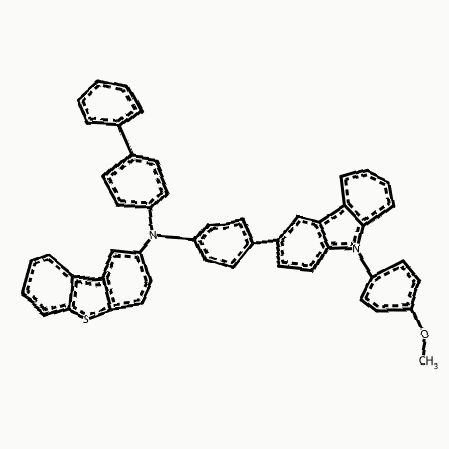 COc1ccc(-n2c3ccccc3c3cc(-c4ccc(N(c5ccc(-c6ccccc6)cc5)c5ccc6sc7ccccc7c6c5)cc4)ccc32)cc1